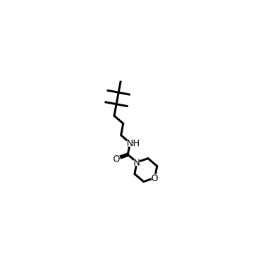 CC(C)(C)C(C)(C)CCCNC(=O)N1CCOCC1